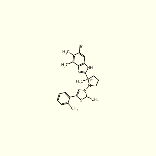 Cc1ccccc1C1=[C]N(N2CCC[C@@]2(C)c2nc3c(C)c(C)c(Br)cc3[nH]2)C(C)S1